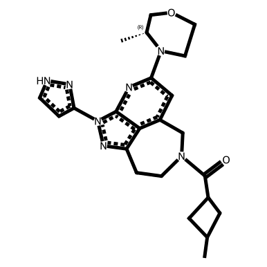 CC1CC(C(=O)N2CCc3nn(-c4cc[nH]n4)c4nc(N5CCOC[C@H]5C)cc(c34)C2)C1